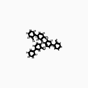 Cc1ccccc1-c1cc2c3c(c1)Oc1ccc(-c4ccccc4C)cc1B3c1ccc(-c3ccccc3)cc1O2